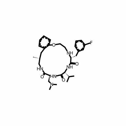 CC(C)[C@H]1NC(=O)[C@@H](Cc2cccc(F)c2)NCCOc2ccccc2C[C@@H](C)CNC(=O)[C@H](CN(C)C)NC1=O